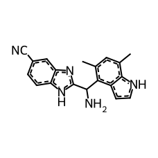 Cc1cc(C)c2[nH]ccc2c1C(N)c1nc2cc(C#N)ccc2[nH]1